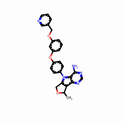 CC1OCc2c1c1ncnc(N)c1n2-c1ccc(Oc2cccc(OCc3cccnc3)c2)cc1